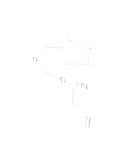 C1CNCCN1.c1ncc2sccc2n1